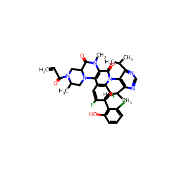 C=CC(=O)N1CC2C(=O)N(C)c3c(c4cc(F)c(-c5c(O)cccc5F)c(F)c4n(-c4c(C(C)C)ncnc4C(C)C)c3=O)N2CC1C